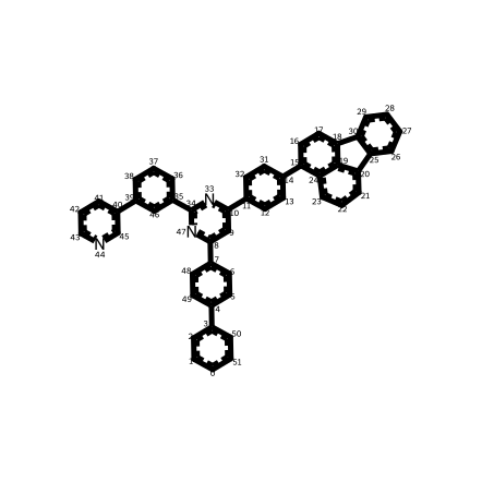 c1ccc(-c2ccc(-c3cc(-c4ccc(-c5ccc6c7c(cccc57)-c5ccccc5-6)cc4)nc(-c4cccc(-c5cccnc5)c4)n3)cc2)cc1